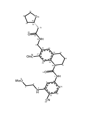 COCCNc1cc(NC(=O)N2CCCc3cc(CNC(=O)C[C@@H]4CCCO4)c(C=O)nc32)ncc1C#N